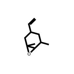 C=CC1CC(C)C2OC2(C)C1